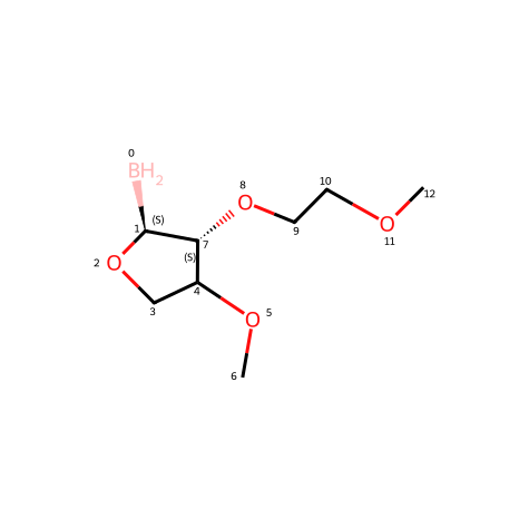 B[C@@H]1OCC(OC)[C@H]1OCCOC